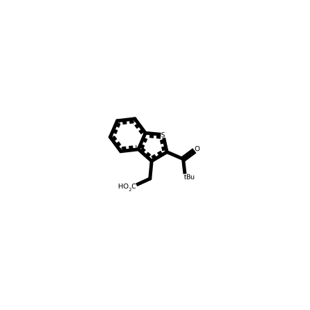 CC(C)(C)C(=O)c1sc2ccccc2c1CC(=O)O